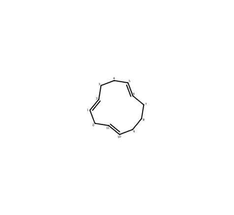 [CH]1/C=C/CC/C=C/CCC/C=C/1